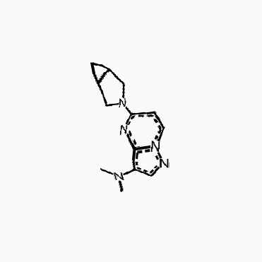 CN(C)c1cnn2ccc(N3CC4CC4C3)nc12